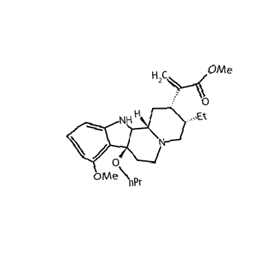 C=C(C(=O)OC)[C@H]1C[C@H]2C3Nc4cccc(OC)c4[C@@]3(OCCC)CCN2C[C@H]1CC